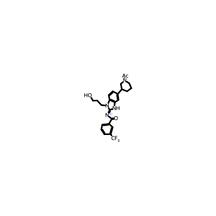 CC(=O)N1CCCC(c2ccc3c(c2)[nH]/c(=N\C(=O)c2cccc(C(F)(F)F)c2)n3CCCO)C1